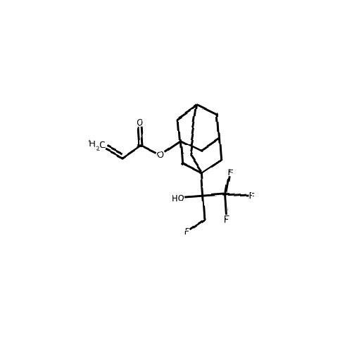 C=CC(=O)OC12CC3CC(C1)CC(C(O)(CF)C(F)(F)F)(C3)C2